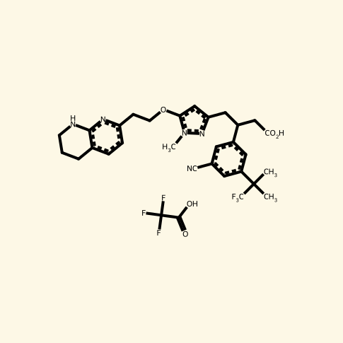 Cn1nc(CC(CC(=O)O)c2cc(C#N)cc(C(C)(C)C(F)(F)F)c2)cc1OCCc1ccc2c(n1)NCCC2.O=C(O)C(F)(F)F